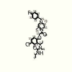 CCNC(=O)N(C)C(C)c1cc(Cl)ccc1OCC(=O)N1C[C@@H](C)N(Cc2ccc(F)cc2)C[C@@H]1C